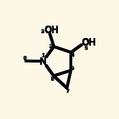 CN1C(O)C(O)C2CC21